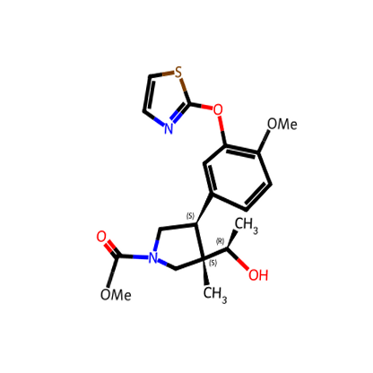 COC(=O)N1C[C@@H](c2ccc(OC)c(Oc3nccs3)c2)[C@](C)([C@@H](C)O)C1